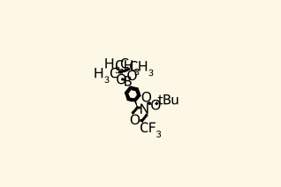 CC(C)(C)OC(=O)N1C[C@H](C(F)(F)F)OC[C@H]1c1ccc(B2OC(C)(C)C(C)(C)O2)cc1